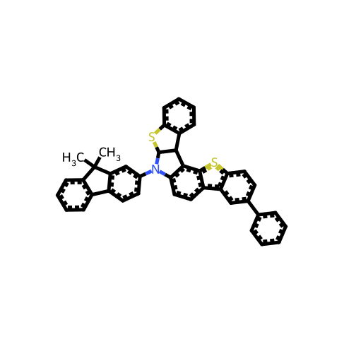 CC1(C)c2ccccc2-c2ccc(N3c4ccc5c(sc6ccc(-c7ccccc7)cc65)c4C4c5ccccc5SC43)cc21